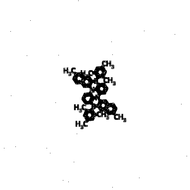 Cc1cc(C)c(B2C3=C4C(=CCC3)N3c5cc6ccc(C)cc6cc5B(c5c(C)cc(C)cc5C)c5cccc(c53)N4c3cc4ccc(C)cc4cc32)c(C)c1